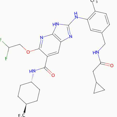 O=C(CC1CC1)NCc1ccc(C(F)(F)F)c(Nc2nc3cc(C(=O)N[C@H]4CC[C@H](C(F)(F)F)CC4)c(OCC(F)F)nc3[nH]2)c1